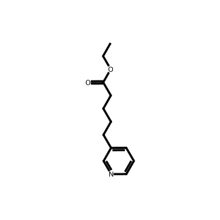 CCOC(=O)CCCCc1cccnc1